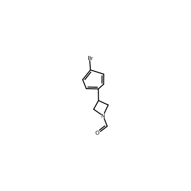 O=CN1CC(c2ccc(Br)cc2)C1